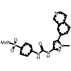 CNS(=O)(=O)c1ccc(NC(=O)Nc2cc(-c3ccc4ccncc4c3)n(C)n2)cc1